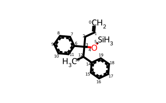 C=CCC(O[SiH3])(c1ccccc1)C(C)c1ccccc1